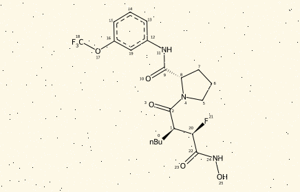 CCCC[C@@H](C(=O)N1CCC[C@H]1C(=O)Nc1cccc(OC(F)(F)F)c1)[C@@H](F)C(=O)NO